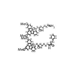 COc1ccc(C(OCCC(O)CCCCCN)(c2ccccc2)c2ccc(OC)cc2)cc1.COc1ccc(C(OCCC(O)CCCCCNC(=O)OCc2ccccc2)(c2ccccc2)c2ccc(OC)cc2)cc1